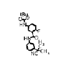 CC(C)(C)OC(=O)Nc1ccc(F)c(C(=O)Nc2cccc(C(C)(C)C#N)c2)c1